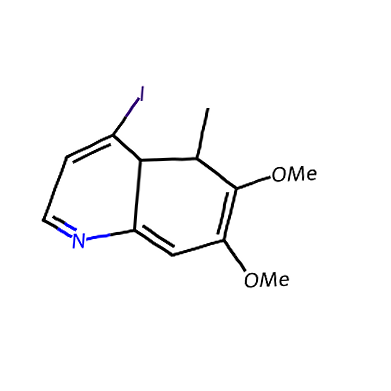 COC1=C(OC)C(C)C2C(I)=CC=NC2=C1